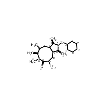 C=C1C(C)CC2C(=C)N(SC3CCCCC3)C(=C)C2CC(C)C(=O)N1C